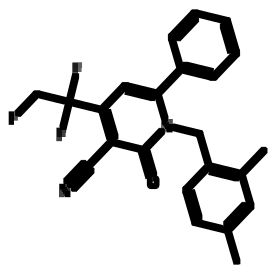 Cc1ccc(Cn2c(-c3ccccc3)cc(C(F)(F)CF)c(C#N)c2=O)c(C)c1